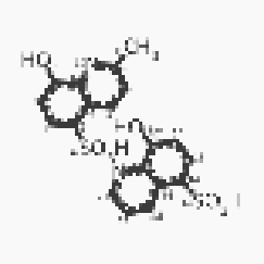 Cc1ccc2c(S(=O)(=O)O)ccc(O)c2n1.O=S(=O)(O)c1ccc(O)c2ncccc12